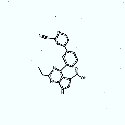 CCc1nc(-c2cccc(-c3ccnc(C#N)n3)c2)c2c(C(=O)O)c[nH]c2n1